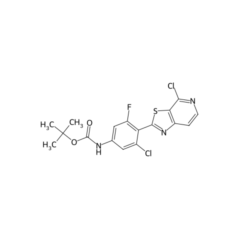 CC(C)(C)OC(=O)Nc1cc(F)c(-c2nc3ccnc(Cl)c3s2)c(Cl)c1